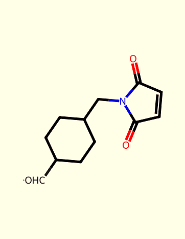 O=[C]C1CCC(CN2C(=O)C=CC2=O)CC1